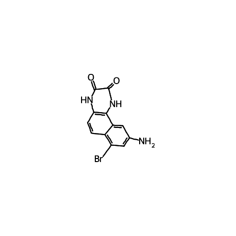 Nc1cc(Br)c2ccc3[nH]c(=O)c(=O)[nH]c3c2c1